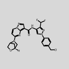 O=C(Nc1cn(-c2ccc(CCl)cc2)nc1C(F)F)c1cnn2ccc(N3C[C@H]4CC3CO4)nc12